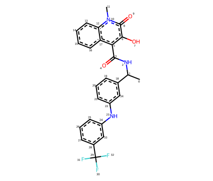 CC(NC(=O)c1c(O)c(=O)n(C)c2ccccc12)c1cccc(Nc2cccc(C(F)(F)F)c2)c1